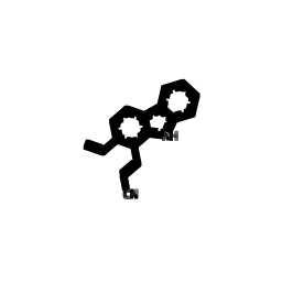 C=Cc1ccc2c([nH]c3ccccc32)c1C=CC#N